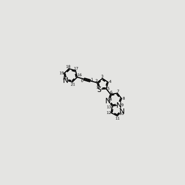 C(#Cc1ccc(-c2ccn3nccc3n2)s1)c1cccnc1